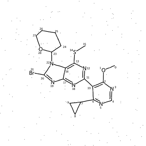 COc1ncnc(C2CC2)c1-c1nc(SC)c2c(n1)nc(Br)n2C1CCCCO1